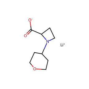 O=C([O-])C1CCN1C1CCOCC1.[Li+]